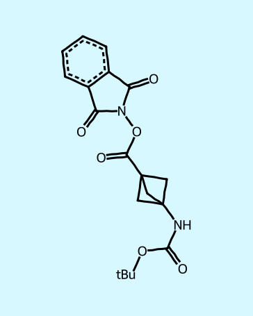 CC(C)(C)OC(=O)NC12CC(C(=O)ON3C(=O)c4ccccc4C3=O)(C1)C2